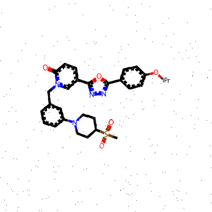 CC(C)Oc1ccc(-c2nnc(-c3ccc(=O)n(Cc4cccc(N5CCC(S(C)(=O)=O)CC5)c4)c3)o2)cc1